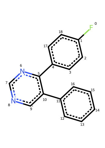 Fc1ccc(-c2ncn[c]c2-c2ccccc2)cc1